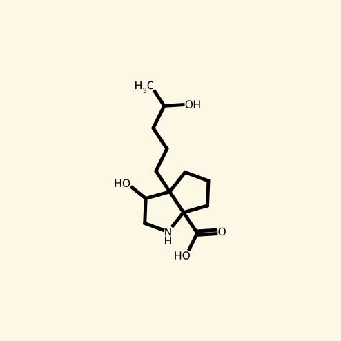 CC(O)CCCC12CCCC1(C(=O)O)NCC2O